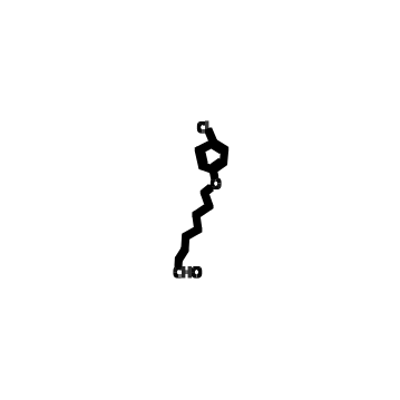 O=CCCCCCCCOc1ccc(Cl)cc1